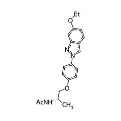 CCOc1ccc2cn(-c3ccc(OC[C@H](C)NC(C)=O)cc3)nc2c1